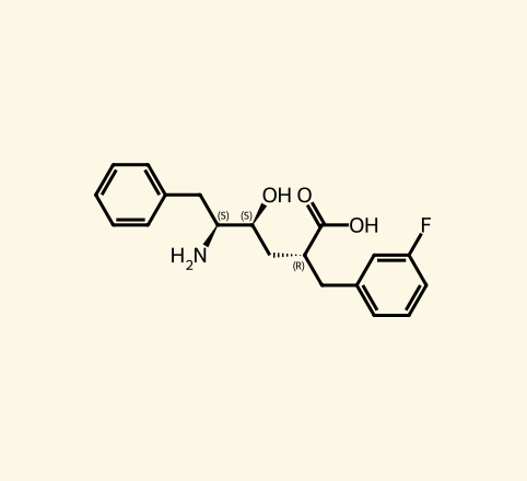 N[C@@H](Cc1ccccc1)[C@@H](O)C[C@@H](Cc1cccc(F)c1)C(=O)O